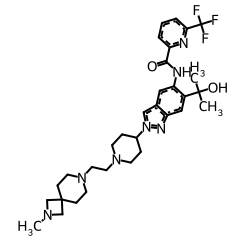 CN1CC2(CCN(CCN3CCC(n4cc5cc(NC(=O)c6cccc(C(F)(F)F)n6)c(C(C)(C)O)cc5n4)CC3)CC2)C1